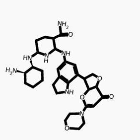 NC(=O)C1CCC(N[C@H]2CCCC[C@H]2N)NC1Nc1cc2c(c(C3COC4C(=O)C=C(N5CCOCC5)OC43)c1)NCC2